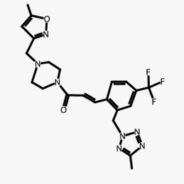 Cc1nnn(Cc2cc(C(F)(F)F)ccc2/C=C/C(=O)N2CCN(Cc3cc(C)on3)CC2)n1